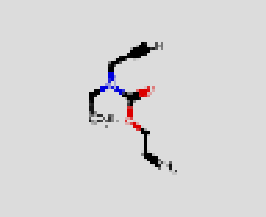 C#CCN(CC(=O)OCC)C(=O)OCC=C